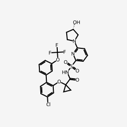 O=C(NS(=O)(=O)c1cccc(N2CC[C@H](O)C2)n1)C1(Oc2cc(Cl)ccc2-c2cccc(OC(F)(F)F)c2)CC1